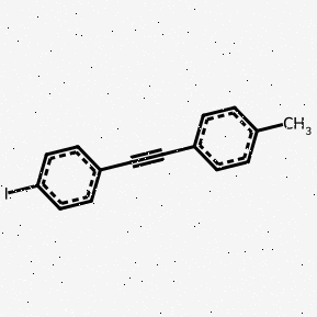 Cc1ccc(C#Cc2ccc(I)cc2)cc1